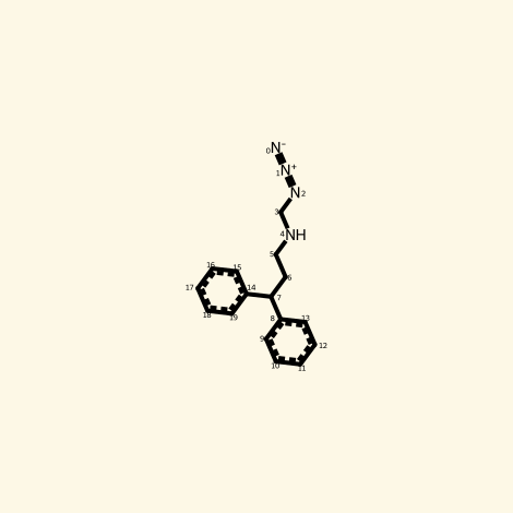 [N-]=[N+]=NCNCCC(c1ccccc1)c1ccccc1